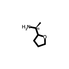 C[C@H](N)C1CCCO1